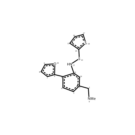 CNCc1ccc(-c2ccco2)c(NSc2cccs2)c1